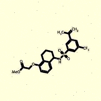 C=C(C)c1cc(C(F)(F)F)cc(S(=O)(=O)NC2CCCc3c(OCC(=O)OC)cccc32)c1